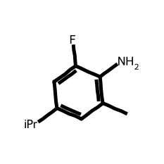 Cc1cc(C(C)C)cc(F)c1N